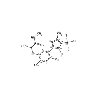 CNC(=O)C(C)Oc1cc(-c2nn(C)c(C(F)(F)F)c2Cl)c(F)cc1Cl